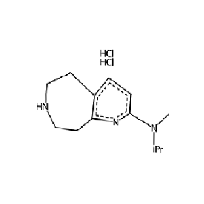 CC(C)N(C)c1ccc2c(n1)CCNCC2.Cl.Cl